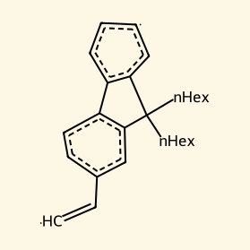 [CH]=Cc1ccc2c(c1)C(CCCCCC)(CCCCCC)c1c[c]ccc1-2